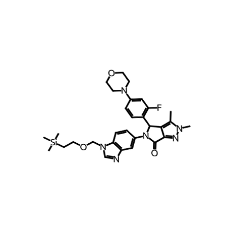 Cc1c2c(nn1C)C(=O)N(c1ccc3c(c1)ncn3COCC[Si](C)(C)C)C2c1ccc(N2CCOCC2)cc1F